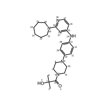 CC(C)(O)C(=O)N1CCN(c2ccc(Nc3ccnc(N4CCCCCC4)n3)cc2)CC1